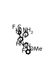 COc1cccc(F)c1-c1nccc(Nc2cc(N3CCC[C@H](N)C3)c(-c3cnn(CC(F)(F)F)c3)cn2)n1